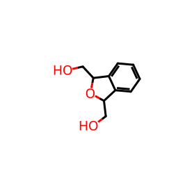 OCC1OC(CO)c2ccccc21